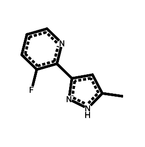 Cc1cc(-c2ncccc2F)n[nH]1